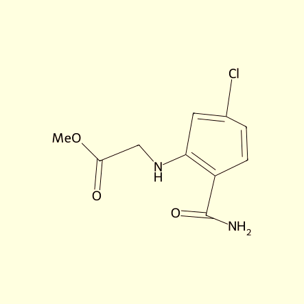 COC(=O)CNc1cc(Cl)ccc1C(N)=O